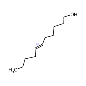 CCCC/C=C/CCCCCO